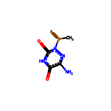 CS(=S)n1nc(N)c(=O)[nH]c1=O